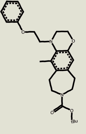 Cc1c2c(cc3c1N(CCOc1ccccc1)CCO3)CCN(C(=O)OC(C)(C)C)CC2